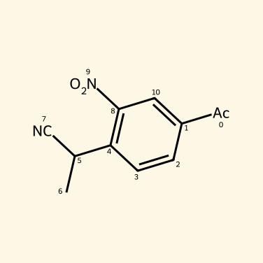 CC(=O)c1ccc(C(C)C#N)c([N+](=O)[O-])c1